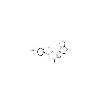 CN(C(=O)c1cc2nc(N)c3c(c2[nH]1)COC3)[C@@H]1CCOc2cc(C(F)(F)F)ccc21